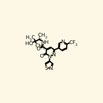 C[C@H](NC(=O)c1cc(-c2ccc(C(F)(F)F)nc2)nn(-c2cnsc2)c1=O)C(C)(C)O